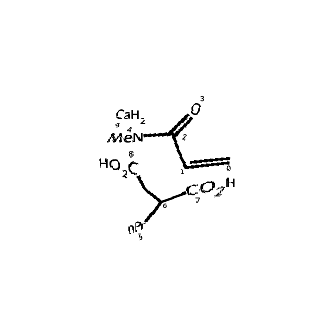 C=CC(=O)NC.CCCC(C(=O)O)C(=O)O.[CaH2]